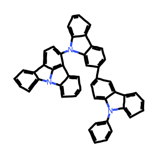 c1ccc(-n2c3ccccc3c3cc(-c4ccc5c6ccccc6n(-c6ccc7c8ccccc8n8c9ccccc9c6c78)c5c4)ccc32)cc1